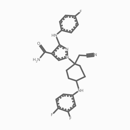 N#CCC1(n2cc(C(N)=O)c(Nc3ccc(F)cc3)n2)CCC(Nc2ccc(F)c(F)c2)CC1